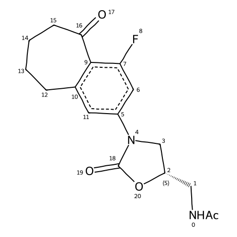 CC(=O)NC[C@H]1CN(c2cc(F)c3c(c2)CCCCC3=O)C(=O)O1